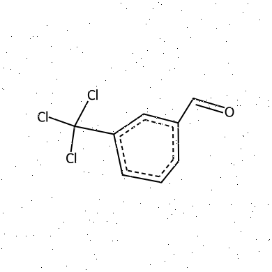 O=Cc1cccc(C(Cl)(Cl)Cl)c1